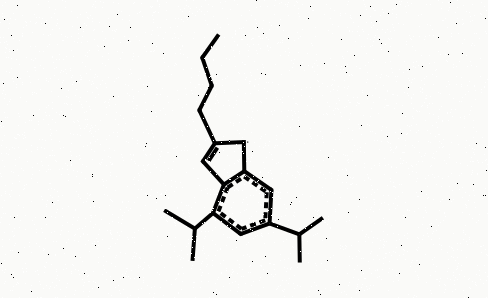 CCCCC1=Cc2c(cc(C(C)C)cc2C(C)C)[CH]1